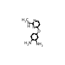 CNc1nccc(Oc2ccc(N)c(N)c2)n1